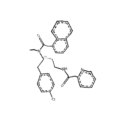 CN(C(=O)c1cccc2ccccc12)[C@H](CCNC(=O)c1ccccn1)Cc1ccc(Cl)cc1